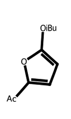 CC(=O)c1ccc(OCC(C)C)o1